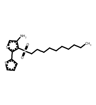 CCCCCCCCCCS(=O)(=O)c1c(N)csc1-c1cccs1